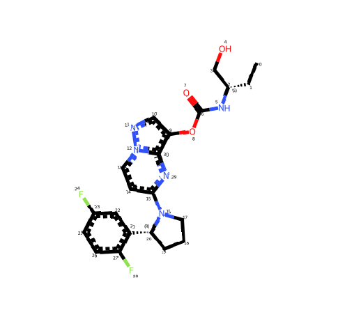 CC[C@@H](CO)NC(=O)Oc1cnn2ccc(N3CCC[C@@H]3c3cc(F)ccc3F)nc12